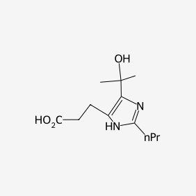 CCCc1nc(C(C)(C)O)c(CCC(=O)O)[nH]1